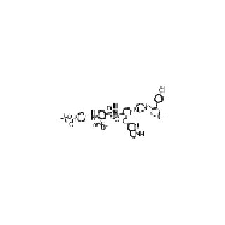 CC1(C)CCC(CN2CCN(c3ccc(C(=O)NS(=O)(=O)c4ccc(NCC5CCN(C(=O)OC(C)(C)C)CC5)c([N+](=O)[O-])c4)c(Oc4cnc5[nH]ccc5c4)c3)CC2)=C(c2ccc(Cl)cc2)C1